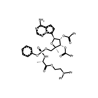 CC(C)C(=O)O[C@H]1[C@H](c2ccc3c(N)ncnn23)O[C@](C)(COP(=O)(N[C@@H](C)C(=O)OCCN(C(C)C)C(C)C)Oc2ccccc2)[C@H]1OC(=O)C(C)C